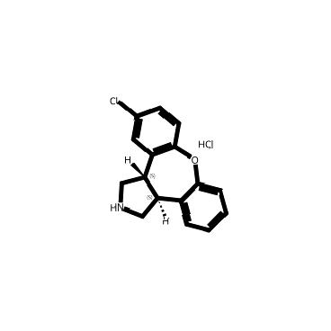 Cl.Clc1ccc2c(c1)[C@H]1CNC[C@@H]1c1ccccc1O2